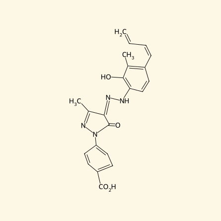 C=C/C=C\c1ccc(N/N=C2\C(=O)N(c3ccc(C(=O)O)cc3)N=C2C)c(O)c1C